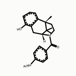 CC(=O)Nc1ccc(C(=O)N2CC[C@@]3(C)c4cccc(O)c4C[C@@H]2C3(C)C)cc1